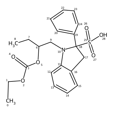 CCOC(=O)OC(CC)CN1c2ccccc2CC1(c1ccccc1)S(=O)(=O)O